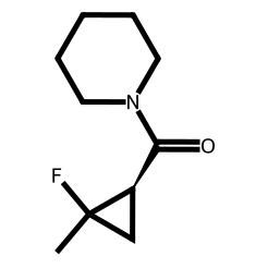 CC1(F)C[C@@H]1C(=O)N1CCCCC1